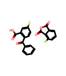 O=C(O)c1cc(F)ccc1C(=O)c1ccccc1.O=C1OC(=O)c2c(F)cccc21